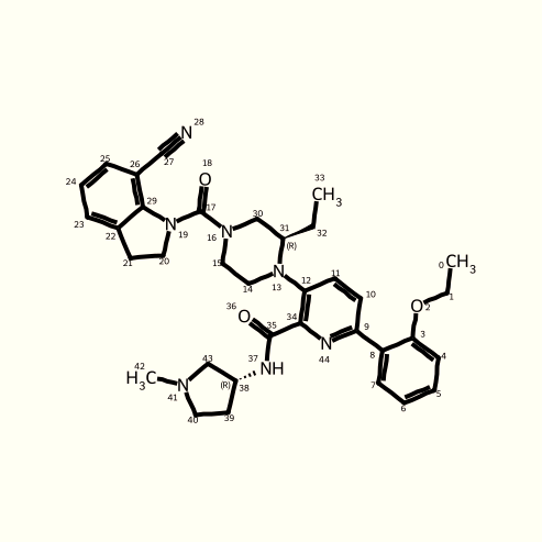 CCOc1ccccc1-c1ccc(N2CCN(C(=O)N3CCc4cccc(C#N)c43)C[C@H]2CC)c(C(=O)N[C@@H]2CCN(C)C2)n1